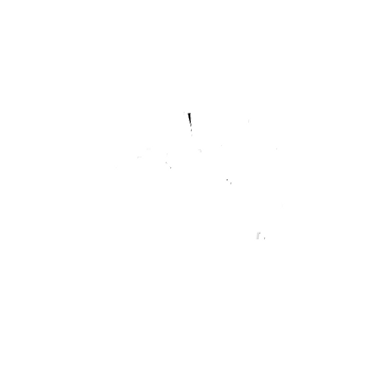 CNCc1csc([C@H](C)NC(=O)O)n1